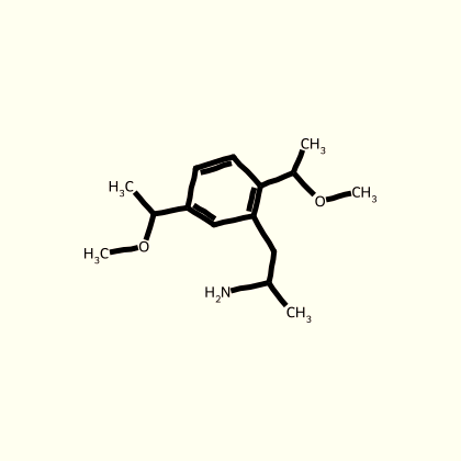 COC(C)c1ccc(C(C)OC)c(CC(C)N)c1